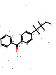 CCC(C)(C)C(C)(C)c1ccc(C(=O)c2ccccc2)cc1